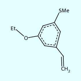 C=Cc1cc(OCC)cc(SC)c1